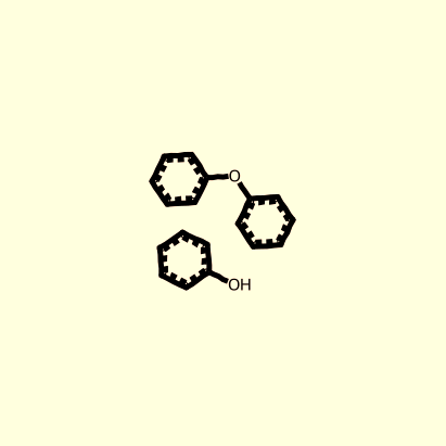 Oc1ccccc1.c1ccc(Oc2ccccc2)cc1